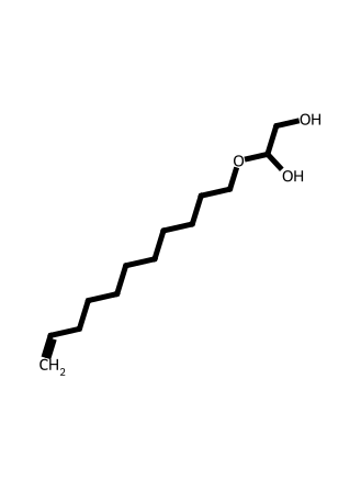 C=CCCCCCCCCCOC(O)CO